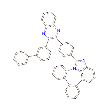 c1ccc(-c2cccc(-c3nc4ccccc4nc3-c3ccc(-c4nc5cccc6c5n4-c4ccccc4-c4ccccc4-6)cc3)c2)cc1